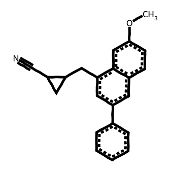 COc1ccc2cc(-c3ccccc3)cc(CC3CC3C#N)c2c1